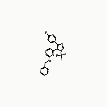 Fc1ccc(-c2ncn(C(F)(F)F)c2-c2ccnc(NCc3ccccn3)n2)cc1